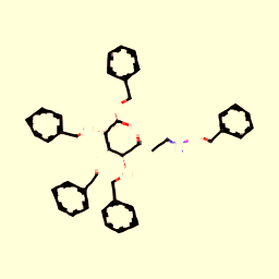 c1ccc(CONCC[C@H]2O[C@H](OCc3ccccc3)[C@@H](OCc3ccccc3)[C@@H](OCc3ccccc3)[C@@H]2OCc2ccccc2)cc1